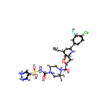 CC(C)(C)c1cc(-c2ccc(Cl)c(F)c2)nc2cc(C(=O)N3CCN(C(=O)NS(=O)(=O)c4cn[nH]c4)CC3(C)C)oc12